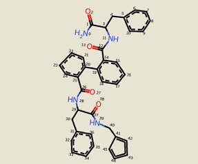 NC(=O)C(Cc1ccccc1)NC(=O)c1ccccc1-c1ccccc1C(=O)NC(Cc1ccccc1)C(=O)NCC1=C=C=C=C1